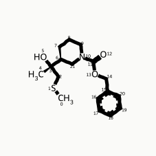 CSC[C@](C)(O)[C@H]1CCCN(C(=O)OCc2ccccc2)C1